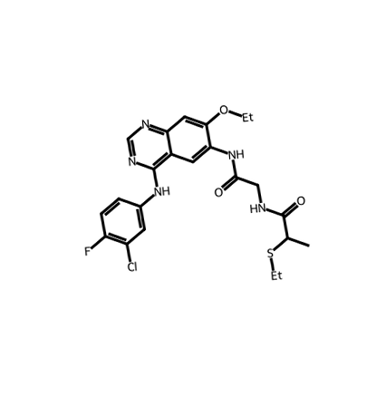 CCOc1cc2ncnc(Nc3ccc(F)c(Cl)c3)c2cc1NC(=O)CNC(=O)C(C)SCC